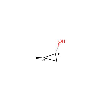 C[C@@H]1C[C@H]1O